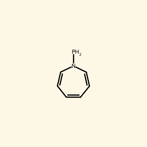 PN1C=CC=CC=C1